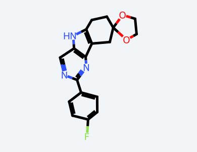 Fc1ccc(-c2ncc3[nH]c4c(c3n2)CC2(CC4)OCCO2)cc1